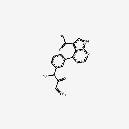 C=CC(=O)N(C)c1cccc(-c2ncnc3[nH]cc(C(=O)O)c23)c1